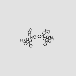 CC1(C)c2ccccc2N(c2ccccc2)c2ccc(N(c3ccc(-c4ccc(N(c5ccc6c(c5)C(C)(C)c5ccccc5N6c5ccccc5)c5ccc6sc7ccccc7c6c5)cc4)cc3)c3ccc4oc5ccccc5c4c3)cc21